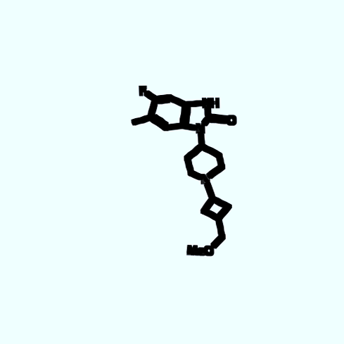 COCC1CC(N2CCC(n3c(=O)[nH]c4cc(F)c(C)cc43)CC2)C1